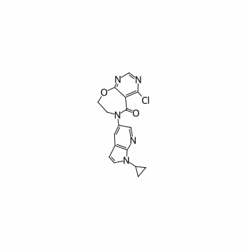 O=C1c2c(Cl)ncnc2OCCN1c1cnc2c(ccn2C2CC2)c1